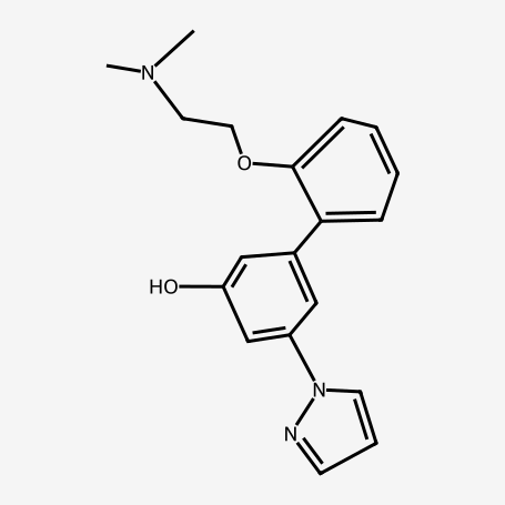 CN(C)CCOc1ccccc1-c1cc(O)cc(-n2cccn2)c1